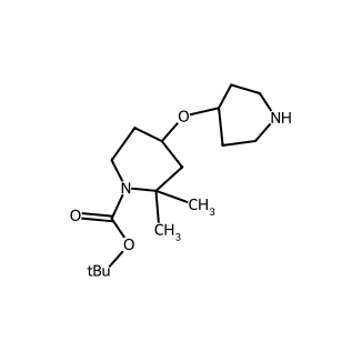 CC(C)(C)OC(=O)N1CCC(OC2CCNCC2)CC1(C)C